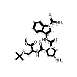 COC(=O)C(COC(C)(C)C)NC(=O)[C@@H]1C[C@H](N)CN1C(=O)Nc1cn(C(N)=O)c2ccccc12